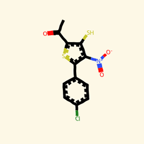 CC(=O)c1sc(-c2ccc(Cl)cc2)c([N+](=O)[O-])c1S